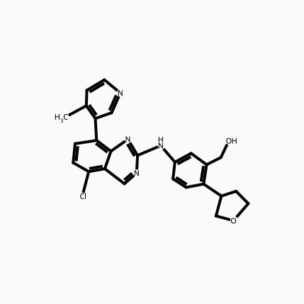 Cc1ccncc1-c1ccc(Cl)c2cnc(Nc3ccc(C4CCOC4)c(CO)c3)nc12